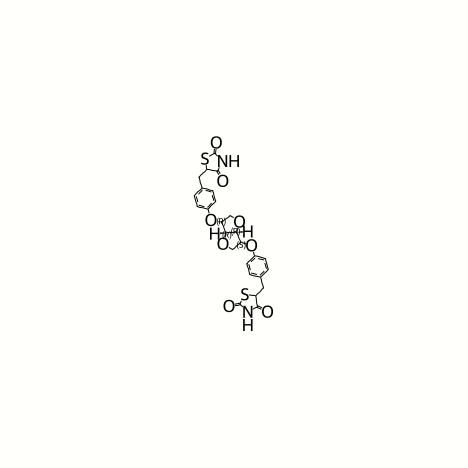 O=C1NC(=O)C(Cc2ccc(O[C@H]3CO[C@H]4[C@@H]3OC[C@H]4Oc3ccc(CC4SC(=O)NC4=O)cc3)cc2)S1